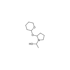 CC(O)N1CCCC1OC1CCCCO1